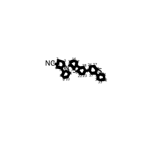 N#Cc1ccc2c(c1)c1ccccc1n2-c1cccc2c1sc1ccc(-c3ccc4sc5ccccc5c4c3)cc12